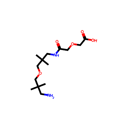 CC(C)(CN)COCC(C)(C)CNC(=O)COCC(=O)O